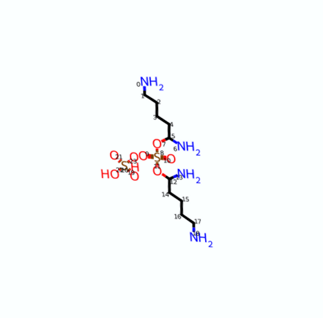 NCCCCC(N)OS(=O)(=O)OC(N)CCCCN.O=S(=O)(O)O